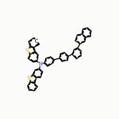 c1cc(-c2ccc(-c3ccc(N(c4ccc5c(c4)sc4ccccc45)c4ccc5sc6ccccc6c5c4)cc3)cc2)cc(-c2ccc3ccccc3c2)c1